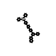 c1ccc(-c2cc(-c3ccc(-c4ccc(-c5ccc(-c6nc(-c7ccccc7)nc(-c7ccccc7)n6)cc5)cc4)cc3)cc(-c3ccc4ccccc4c3)c2)cc1